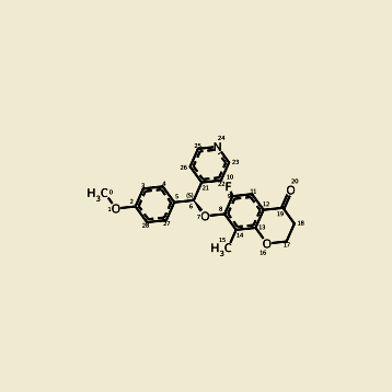 COc1ccc([C@H](Oc2c(F)cc3c(c2C)OCCC3=O)c2ccncc2)cc1